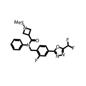 CSN1CC(C(=O)N(Cc2ccc(-c3nnc(C(F)F)o3)cc2F)c2ccccc2)C1